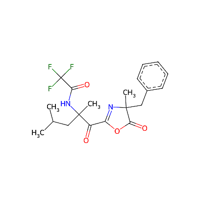 CC(C)CC(C)(NC(=O)C(F)(F)F)C(=O)C1=NC(C)(Cc2ccccc2)C(=O)O1